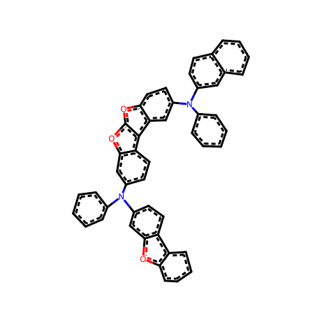 c1ccc(N(c2ccc3c(c2)oc2ccccc23)c2ccc3c(c2)oc2oc4ccc(N(c5ccccc5)c5ccc6ccccc6c5)cc4c23)cc1